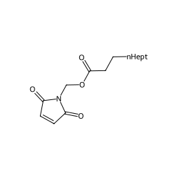 CCCCCCCCCC(=O)OCN1C(=O)C=CC1=O